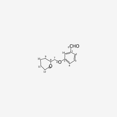 O=Cc1cccc(OCC2CCCCO2)c1